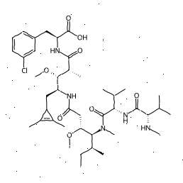 CC[C@H](C)[C@@H]([C@@H](CC(=O)N[C@@H](CC1C(C)=C1C)[C@H](OC)[C@@H](C)C(=O)N[C@@H](Cc1cccc(Cl)c1)C(=O)O)OC)N(C)C(=O)[C@@H](NC(=O)[C@@H](NC)C(C)C)C(C)C